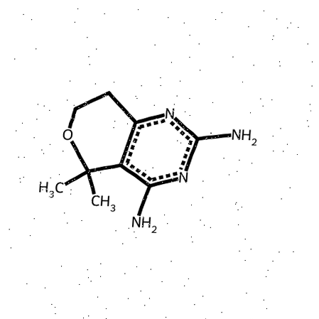 CC1(C)OCCc2nc(N)nc(N)c21